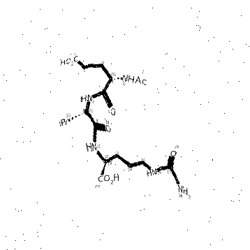 CC(=O)N[C@@H](CCC(=O)O)C(=O)N[C@H](C(=O)N[C@@H](CCCNC(N)=O)C(=O)O)C(C)C